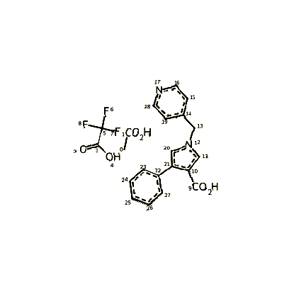 CC(=O)O.O=C(O)C(F)(F)F.O=C(O)c1cn(Cc2ccncc2)cc1-c1ccccc1